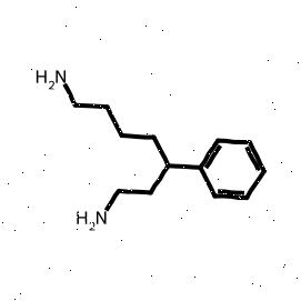 NCCCCC(CCN)c1ccccc1